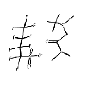 CC(C)C(=O)C[S+](C)C(C)(C)C.O=S(=O)([O-])C(F)(F)C(F)(F)C(F)(F)C(F)(F)F